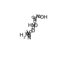 CCC(CC)N(C(N)=NC#N)c1ccc(Oc2ccc(NC(=O)c3ccc(-n4cc(CN5CCC(O)CC5)c5ccccc54)cc3)cc2C)cc1